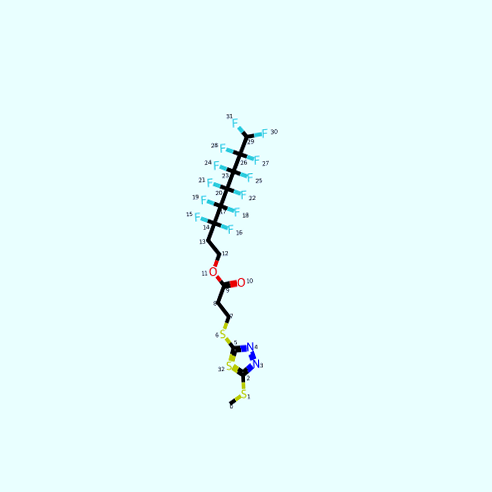 CSc1nnc(SCCC(=O)OCCC(F)(F)C(F)(F)C(F)(F)C(F)(F)C(F)(F)C(F)F)s1